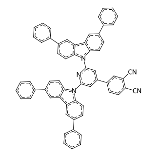 N#Cc1ccc(-c2cc(-n3c4ccc(-c5ccccc5)cc4c4cc(-c5ccccc5)ccc43)nc(-n3c4ccc(-c5ccccc5)cc4c4cc(-c5ccccc5)ccc43)c2)cc1C#N